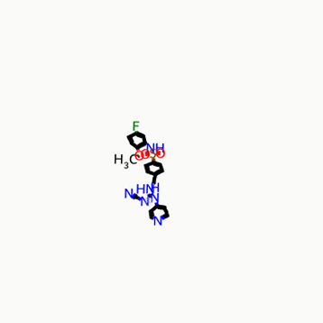 COc1ccc(F)cc1NS(=O)(=O)c1ccc(CN/C(=N\C#N)Nc2ccncc2)cc1